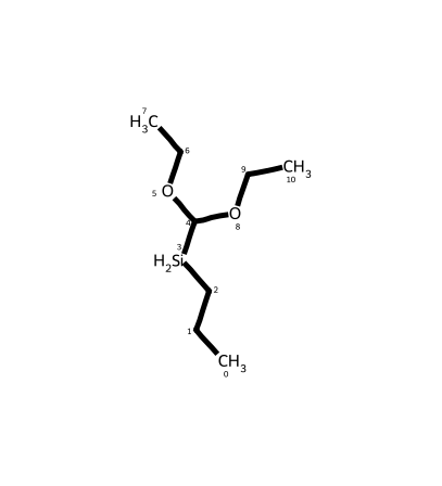 CC[CH][SiH2]C(OCC)OCC